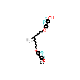 C=CC(CCCCCCCOc1ccc(-c2ccc(O)c(F)c2F)c(F)c1)CCCCCCCOc1ccc(-c2ccc(OCC)c(F)c2F)c(F)c1